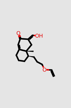 C=COCCC[C@H]1CCCC2=CC(=O)C(=CO)C[C@@]21C